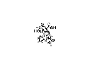 C[C@@H](O)[C@H]1C(=O)N2C(C(=O)O)=C(S[C@H]3C[C@@H](C(=O)N(C)C)N(Cc4ccncc4)C3)[C@H](C)[C@H]12